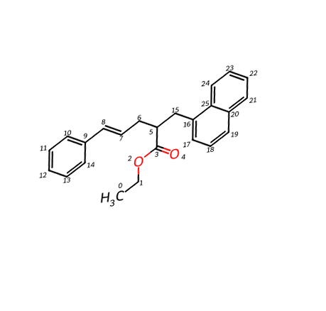 CCOC(=O)C(CC=Cc1ccccc1)Cc1cccc2ccccc12